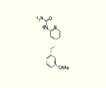 COc1cccc(CCc2ccnc(NC(N)=O)c2)c1